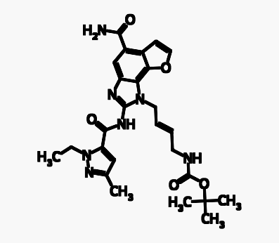 CCn1nc(C)cc1C(=O)Nc1nc2cc(C(N)=O)c3ccoc3c2n1C/C=C/CNC(=O)OC(C)(C)C